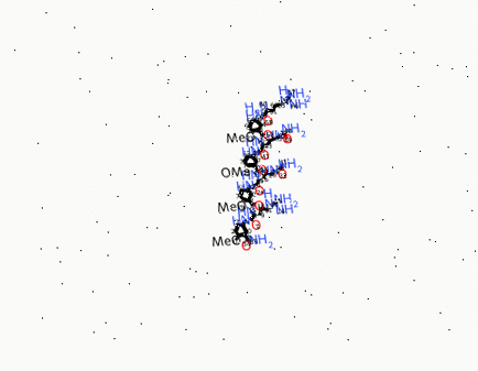 COc1ccc(NC(=O)[C@@H](CCCNC(=N)N)NC(=O)c2cc(NC(=O)[C@@H](CCCNC(N)=O)NC(=O)c3cc(NC(=O)[C@@H](CCCNC(N)=O)NC(=O)c4cc(NC(=O)[C@H](N)CCCNC(=N)N)ccc4OC)ccc3OC)ccc2OC)cc1C(N)=O